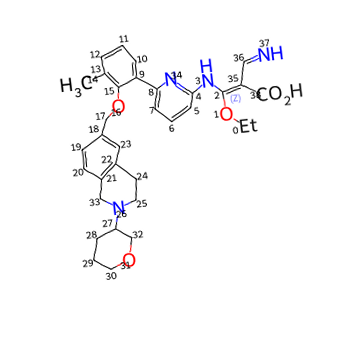 CCO/C(Nc1cccc(-c2cccc(C)c2OCc2ccc3c(c2)CCN(C2CCCOC2)C3)n1)=C(/C=N)C(=O)O